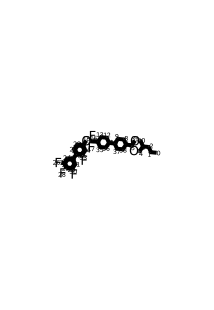 CCCC1COC(C2CCC(C3CCC(C(F)(F)Oc4ccc(-c5cc(F)c(F)c(F)c5)c(F)c4)CC3)CC2)OC1